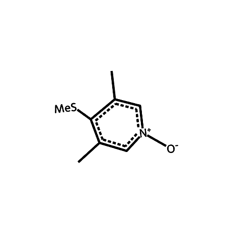 CSc1c(C)c[n+]([O-])cc1C